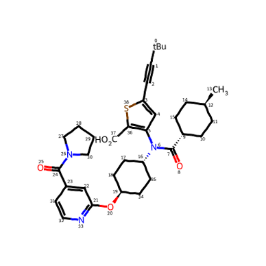 CC(C)(C)C#Cc1cc(N(C(=O)[C@H]2CC[C@H](C)CC2)[C@H]2CC[C@H](Oc3cc(C(=O)N4CCCC4)ccn3)CC2)c(C(=O)O)s1